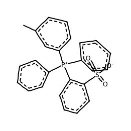 Cc1cccc([P+](c2ccccc2)(c2ccccc2)c2ccccc2S(=O)(=O)[O-])c1